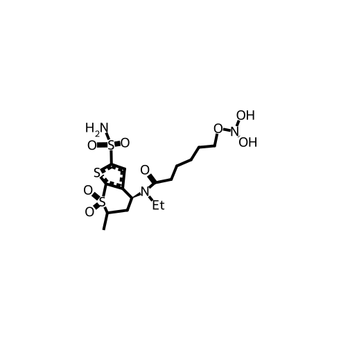 CCN(C(=O)CCCCCON(O)O)[C@H]1CC(C)S(=O)(=O)c2sc(S(N)(=O)=O)cc21